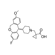 COc1ccc2c(c1)COc1cc(F)ccc1C2=C1CCN(CC2(C(=O)O)CC2)CC1